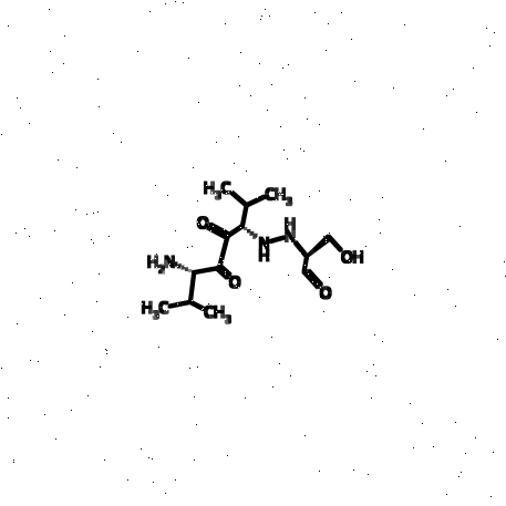 CC(C)[C@H](N)C(=O)C(=O)[C@@H](NN[C@H](C=O)CO)C(C)C